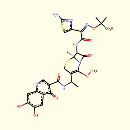 CC(NC(=O)c1c[nH]c2cc(O)c(O)cc2c1=O)C1=C(OC(=O)O)N2C(=O)C(NC(=O)/C(=N\OC(C)(C)C(=O)O)c3csc(N)n3)[C@@H]2SC1